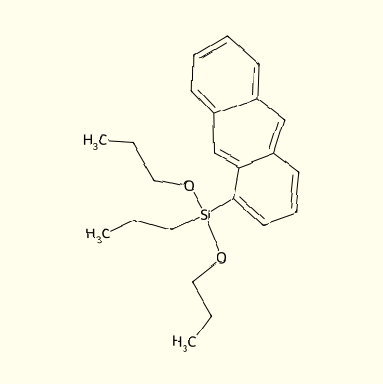 CCCO[Si](CCC)(OCCC)c1cccc2cc3ccccc3cc12